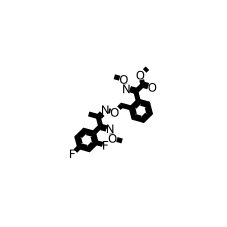 CON=C(C(C)=NOCc1ccccc1C(=NOC)C(=O)OC)c1ccc(F)cc1F